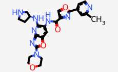 Cc1cc(-c2nc(C(=O)Nc3cc4oc(N5CCOCC5)nc4nc3N[C@H]3CCNC3)co2)ccn1